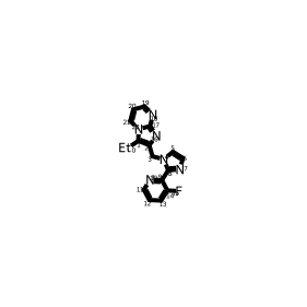 CCc1c(Cn2ccnc2-c2ncccc2F)nc2ncccn12